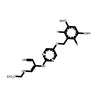 CCOC(=O)CN/C=C(\C=N)Nc1ncc(OCc2c(F)c(OC)cc(OC)c2F)cn1